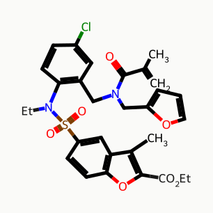 C=C(C)C(=O)N(Cc1ccco1)Cc1cc(Cl)ccc1N(CC)S(=O)(=O)c1ccc2oc(C(=O)OCC)c(C)c2c1